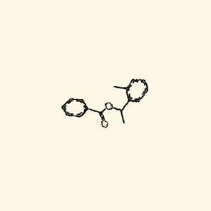 Cc1ccccc1C(C)OC(=O)c1ccccc1